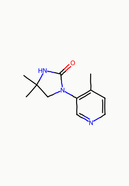 Cc1ccncc1N1CC(C)(C)NC1=O